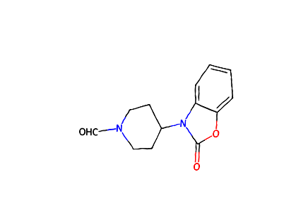 O=CN1CCC(n2c(=O)oc3ccccc32)CC1